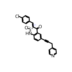 O=C1/C(=C/c2ccc(Cl)cc2)[S+]([O-])Nc2ccc(C#CCc3ccncc3)cc21